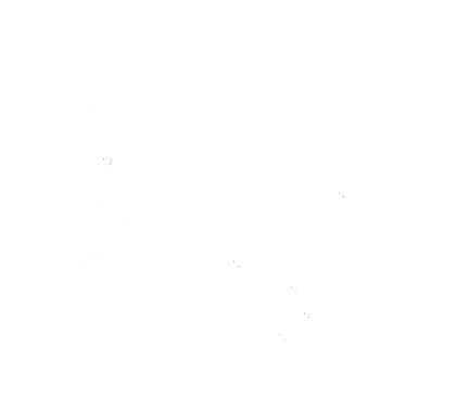 O=C(NOCCO)c1ccc(-c2ccc3nnn(Cc4cccc5cccnc45)c3n2)cc1Cl